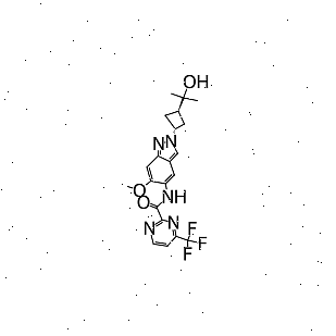 COc1cc2nn([C@H]3C[C@H](C(C)(C)O)C3)cc2cc1NC(=O)c1nccc(C(F)(F)F)n1